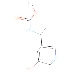 CC(NC(=O)OC(C)(C)C)c1cncc(Br)c1